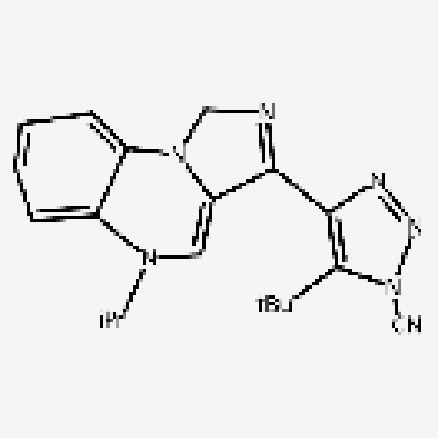 CC(C)N1C=C2C(c3nnn(C#N)c3C(C)(C)C)=NCN2c2ccccc21